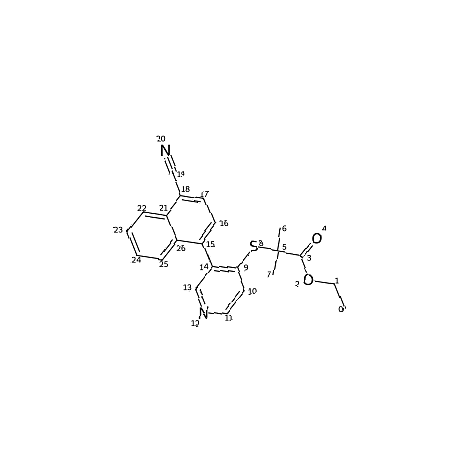 CCOC(=O)C(C)(C)Sc1ccncc1-c1ccc(C#N)c2ccccc12